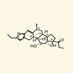 CCC(=O)[C@@]1(O)CC[C@H]2[C@@H]3C[C@H](C)C4=Cc5nn(CC)cc5C[C@]4(C)[C@H]3[C@@H](O)C[C@@]21C